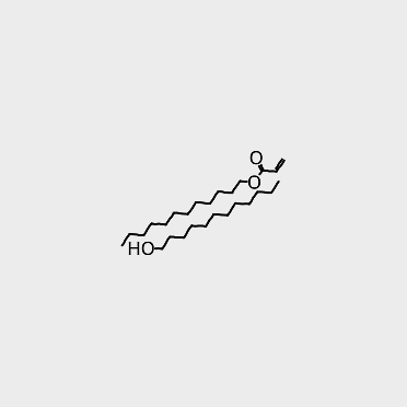 C=CC(=O)OCCCCCCCCCCCC.CCCCCCCCCCCCO